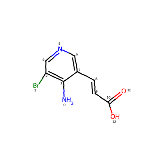 Nc1c(Br)cncc1/C=C/C(=O)O